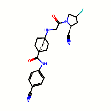 N#Cc1ccc(NC(=O)C23CCC(NCC(=O)N4C[C@@H](F)C[C@H]4C#N)(CC2)CC3)cc1